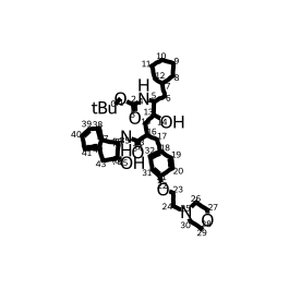 CC(C)(C)OC(=O)NC(CC1CCCCC1)C(O)CC(Cc1ccc(OCCN2CCOCC2)cc1)C(=O)N[C@H]1c2ccccc2C[C@@H]1O